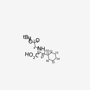 CC(C)(C)OC(=O)CN[C@H](C(=O)O)C(C)(C)C1CCCCC1